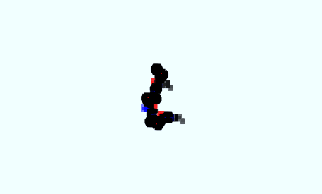 CN1CCN(C(=O)C23CC4CC(C2)CC(c2ccccc2CN2CC(NC(=O)C56CC7CC(C5)CC(c5ccccc5CN5CCC(N(C)C(=O)C89CC%10CC(C8)CC(c8ccccc8)(C%10)C9)CC5)(C7)C6)C2)(C4)C3)CC1